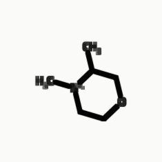 CC1COCC[N+]1C